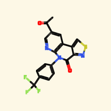 CC(=O)c1cnc2c(c1)c1csnc1c(=O)n2-c1ccc(C(F)(F)F)cc1